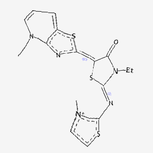 CCN1C(=O)/C(=c2/nc3c(s2)=CC=CN3C)S/C1=N\c1scc[n+]1C